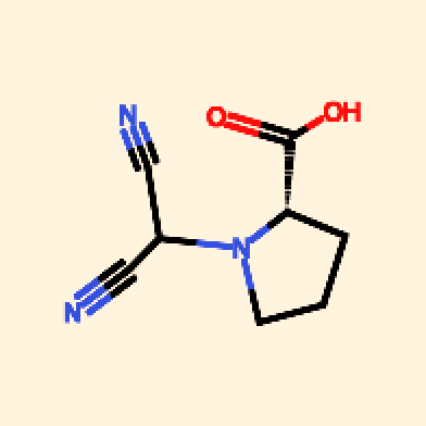 N#CC(C#N)N1CCC[C@H]1C(=O)O